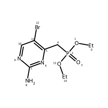 CCOP(=O)(Cc1nc(N)ncc1Br)OCC